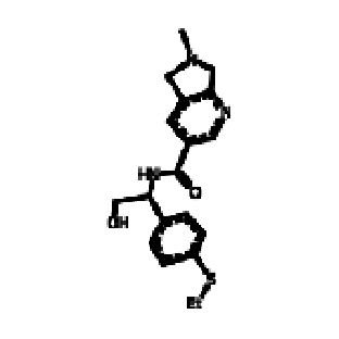 CCSc1ccc(C(CO)NC(=O)c2cnc3c(c2)CN(C)C3)cc1